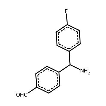 NC(c1ccc(F)cc1)c1ccc(C=O)cc1